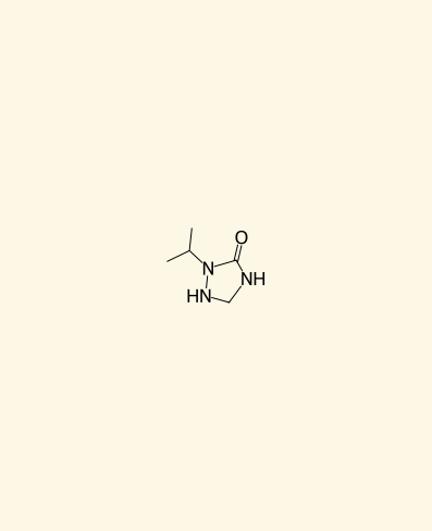 CC(C)N1NCNC1=O